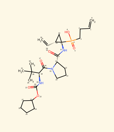 C=CCCP(=O)(O)[C@@]1(NC(=O)[C@@H]2CCCN2C(=O)[C@@H](NC(=O)OC2CCCC2)C(C)(C)C)C[C@H]1C=C